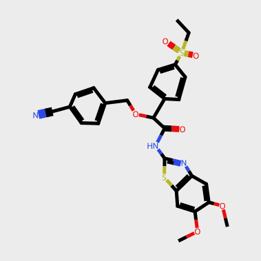 CCS(=O)(=O)c1ccc(C(OCc2ccc(C#N)cc2)C(=O)Nc2nc3cc(OC)c(OC)cc3s2)cc1